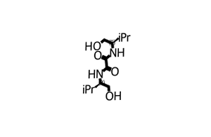 CC(C)[C@H](CO)NC(=O)C(=O)N[C@@H](CO)C(C)C